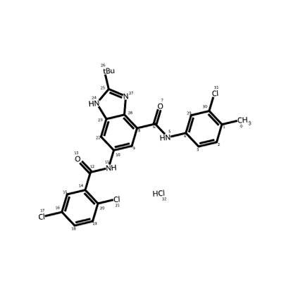 Cc1ccc(NC(=O)c2cc(NC(=O)c3cc(Cl)ccc3Cl)cc3[nH]c(C(C)(C)C)nc23)cc1Cl.Cl